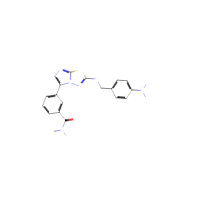 CN(C)C(=O)c1cccc(-c2cnc3sc(NCc4ccc(N(C)C)cc4)nn23)c1